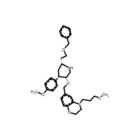 COCCCN1CCOc2ccc(CO[C@H]3CN[C@@H](CCOCc4ccccc4)C[C@@H]3c3ccc(OC)cc3)cc21